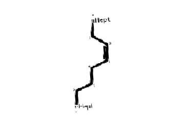 CCCCCCCC/[C]=C\CCCCCCCCCC